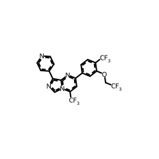 FC(F)(F)COc1cc(-c2cc(C(F)(F)F)n3cnc(-c4ccncc4)c3n2)ccc1C(F)(F)F